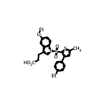 CCOc1ccc2c(c1)c(CCC(=O)O)cn2S(=O)(=O)c1sc(C)cc1-c1ccc(CC)cc1